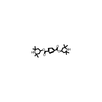 CC1(C)CC(OC(=O)c2ccc(C(=O)OC3CC(C)(C)NC(C)(C)C3)cc2)CC(C)(C)N1